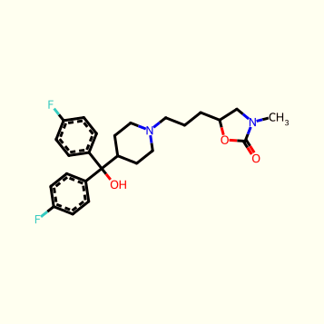 CN1CC(CCCN2CCC(C(O)(c3ccc(F)cc3)c3ccc(F)cc3)CC2)OC1=O